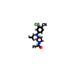 C=C(C)CN(c1ccc(C#N)c(Cl)c1)C1CCN(C(=O)C(C)C)C1